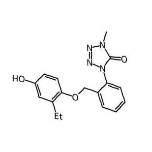 CCc1cc(O)ccc1OCc1ccccc1-n1nnn(C)c1=O